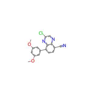 COc1cc(OC)cc(-c2ccc(C#N)c3ncc(Cl)nc23)c1